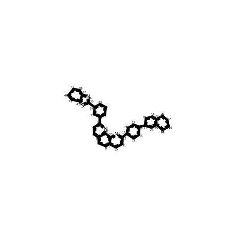 c1cc(-c2ccc3ccc4ccc(-c5ccc(-c6ccc7ccccc7c6)cc5)nc4c3n2)cc(-c2nc3ccccc3s2)c1